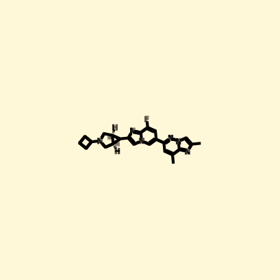 Cc1cn2nc(-c3cc(F)c4nc(C5[C@H]6CN(C7CCC7)C[C@@H]56)cn4c3)cc(C)c2n1